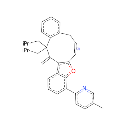 C=C1c2c(oc3c(-c4ccc(C)cn4)cccc23)/C=C\Cc2ccccc2C1(CC(C)C)CC(C)C